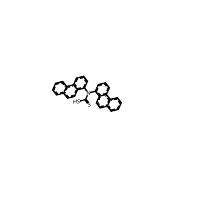 S=C(S)N(c1cccc2c1ccc1ccccc12)c1cccc2c1ccc1ccccc12